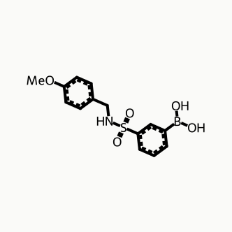 COc1ccc(CNS(=O)(=O)c2cccc(B(O)O)c2)cc1